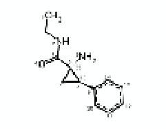 CCNC(=O)[C@]1(N)C[C@@H]1c1ccccc1